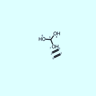 C=C.C=C.OC(O)O